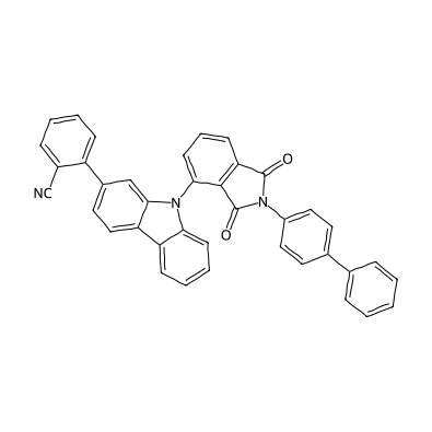 N#Cc1ccccc1-c1ccc2c3ccccc3n(-c3cccc4c3C(=O)N(c3ccc(-c5ccccc5)cc3)C4=O)c2c1